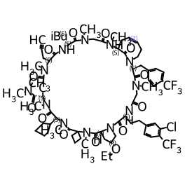 C#CC[C@H]1C(=O)N[C@@H]([C@@H](C)CC)C(=O)N(C)CC(=O)N(C)[C@H]2C/C=C\CCN(C2=O)[C@@H](Cc2ccc(C(F)(F)F)cc2)C(=O)N(C)CC(=O)N[C@@H](CCc2ccc(C(F)(F)F)c(Cl)c2)C(=O)N2C[C@H](OCC)C[C@H]2C(=O)N(C)C2(CCC2)C(=O)N(C)[C@@H](C2CCCC2)C(=O)N(C)[C@H](C(=O)N(C)C)CC(=O)N1C